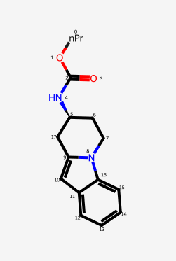 CCCOC(=O)N[C@H]1CCn2c(cc3ccccc32)C1